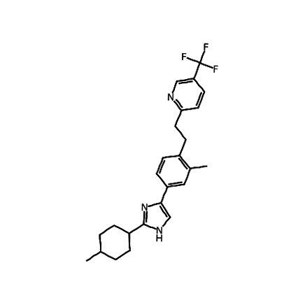 Cc1cc(-c2c[nH]c(C3CCC(C)CC3)n2)ccc1CCc1ccc(C(F)(F)F)cn1